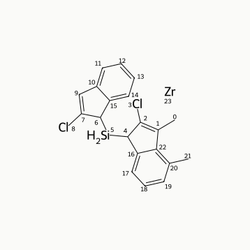 CC1=C(Cl)C([SiH2]C2C(Cl)=Cc3ccccc32)c2cccc(C)c21.[Zr]